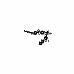 CCCCCCCOc1ccc(C(=O)Oc2ccc(C[C@H](NC(=O)c3ccc(NC(=O)Cc4ccco4)cc3)C(=O)O)cc2)cc1